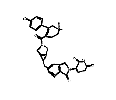 CC1(C)CCC(C(=O)N2CC3C(C2)C3Oc2ccc3c(c2)CN(C2CCC(=O)NC2=O)C3=O)=C(c2ccc(Cl)cc2)C1